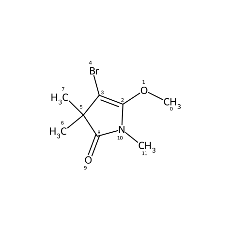 COC1=C(Br)C(C)(C)C(=O)N1C